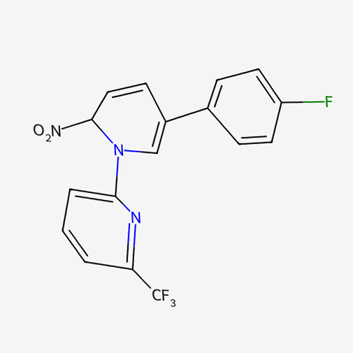 O=[N+]([O-])C1C=CC(c2ccc(F)cc2)=CN1c1cccc(C(F)(F)F)n1